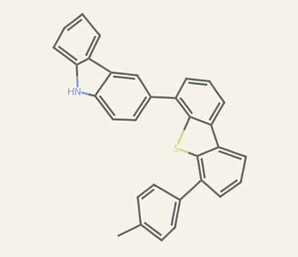 Cc1ccc(-c2cccc3c2sc2c(-c4ccc5[nH]c6ccccc6c5c4)cccc23)cc1